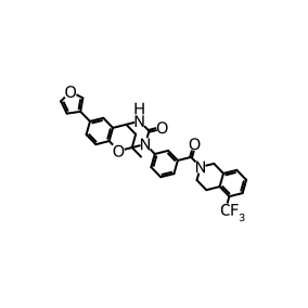 CC12CC(NC(=O)N1c1cccc(C(=O)N3CCc4c(cccc4C(F)(F)F)C3)c1)c1cc(-c3ccoc3)ccc1O2